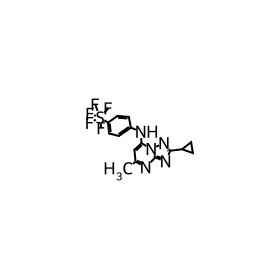 Cc1cc(Nc2ccc(S(F)(F)(F)(F)F)cc2)n2nc(C3CC3)nc2n1